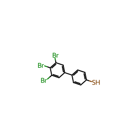 Sc1ccc(-c2cc(Br)c(Br)c(Br)c2)cc1